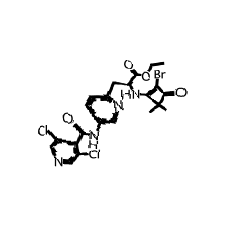 CCOC(=O)[C@H](Cc1ccc(NC(=O)c2c(Cl)cncc2Cl)cn1)NC1=C(Br)C(=O)C1(C)C